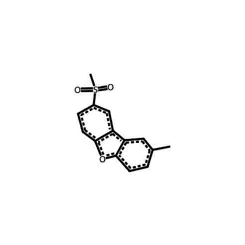 Cc1ccc2oc3ccc(S(C)(=O)=O)cc3c2c1